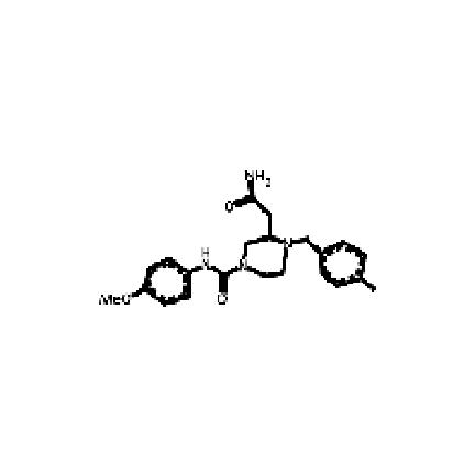 COc1ccc(NC(=O)N2CCN(Cc3ccc(C)cc3)C(CC(N)=O)C2)cc1